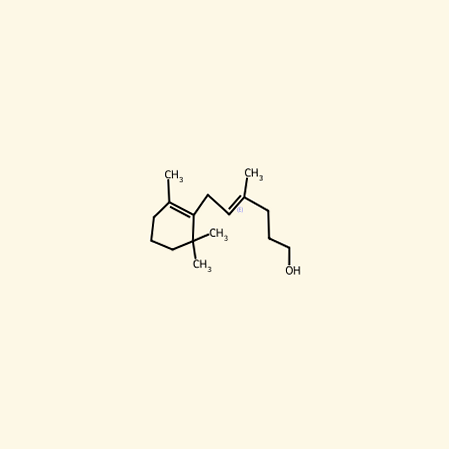 CC1=C(C/C=C(\C)CCCO)C(C)(C)CCC1